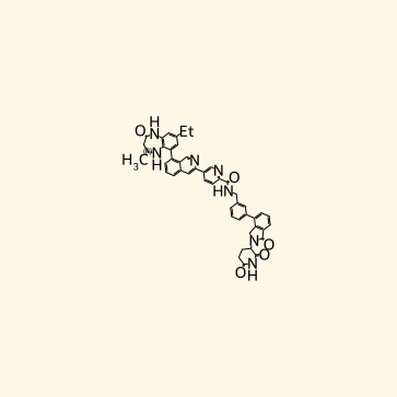 CCc1cc2c(c(-c3cccc4cc(-c5ccc(C(=O)NCc6cccc(-c7cccc8c7CN(C7CCC(=O)NC7=O)C8=O)c6)nc5)ncc34)c1)N[C@H](C)CC(=O)N2